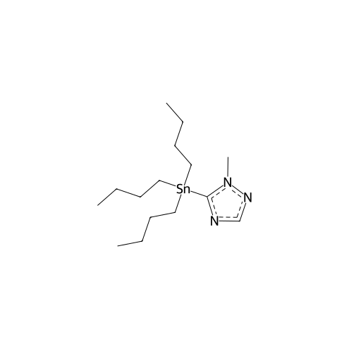 CCC[CH2][Sn]([CH2]CCC)([CH2]CCC)[c]1ncnn1C